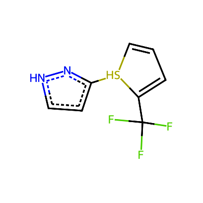 FC(F)(F)C1=CC=C[SH]1c1cc[nH]n1